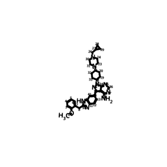 COc1ccccc1Cc1nc2ccc(-c3nn([C@H]4CC[C@@H](N5CCN(CC6CC6)CC5)CC4)c4ncnc(N)c34)cc2[nH]1